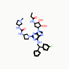 CCC(=O)NC1CC(n2cnc3c(NCC(c4ccccc4)c4ccc(F)cc4)nc(N4CC[C@@H](NC(=O)NC5CCN(C)C5)C4)nc32)[C@H](O)[C@@H]1O